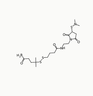 BC(=O)CCC(C)(C)SSCCCC(=O)NCCN1C(=O)CC(SN(C)C)C1=O